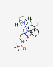 Cc1nc2ccccc2n1C1C[C@H]2CC[C@@H](C1)N2CCC1(c2ccc(F)c(Cl)c2)CCN(C(=O)C(C)(C)C)CC1